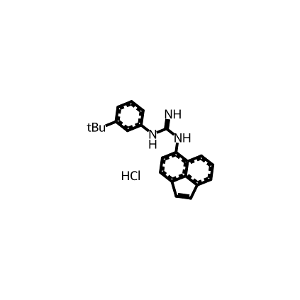 CC(C)(C)c1cccc(NC(=N)Nc2ccc3c4c(cccc24)C=C3)c1.Cl